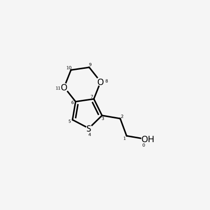 OCCc1scc2c1OCCO2